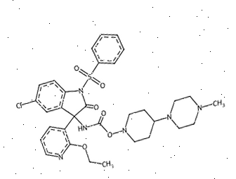 CCOc1ncccc1C1(NC(=O)ON2CCC(N3CCN(C)CC3)CC2)C(=O)N(S(=O)(=O)c2ccccc2)c2ccc(Cl)cc21